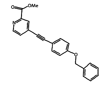 COC(=O)c1cc(C#Cc2ccc(OCc3ccccc3)cc2)ccn1